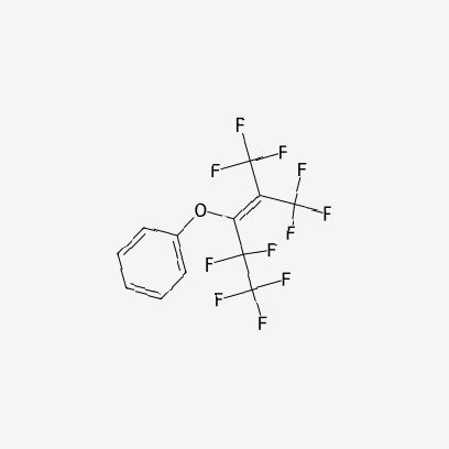 FC(F)(F)C(=C(Oc1ccccc1)C(F)(F)C(F)(F)F)C(F)(F)F